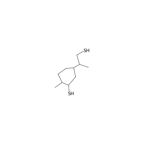 CC1CCC(C(C)CS)CC1S